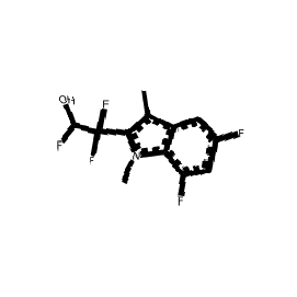 Cc1c(C(F)(F)C(O)F)n(C)c2c(F)cc(F)cc12